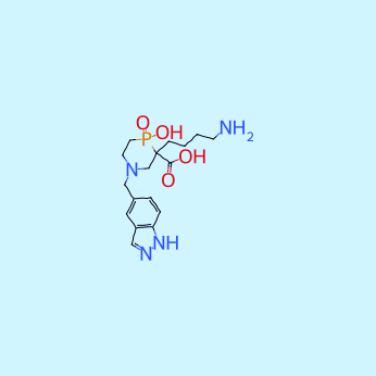 NCCCCC1(C(=O)O)CN(Cc2ccc3[nH]ncc3c2)CCP1(=O)O